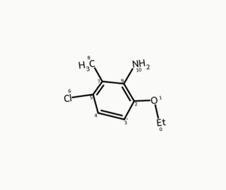 CCOc1[c]cc(Cl)c(C)c1N